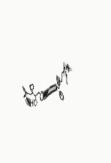 C=C(C)C(=O)C(O)CO[PH](=O)OCC[N+](C)(C)C